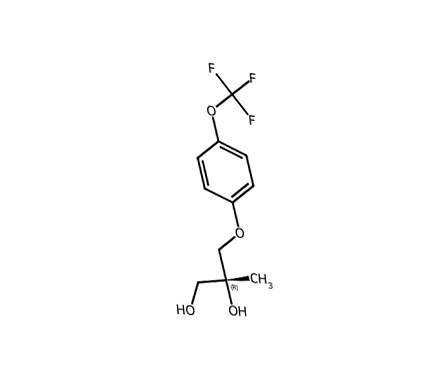 C[C@@](O)(CO)COc1ccc(OC(F)(F)F)cc1